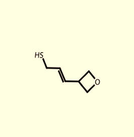 SCC=CC1COC1